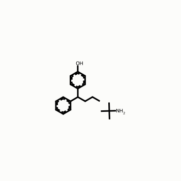 CC(C)(C)N.CCCC(c1ccccc1)c1ccc(O)cc1